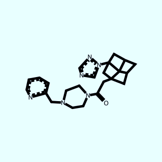 O=C(CC12CC3CC4CC(n5cncn5)(C1)C342)N1CCN(Cc2ccccn2)CC1